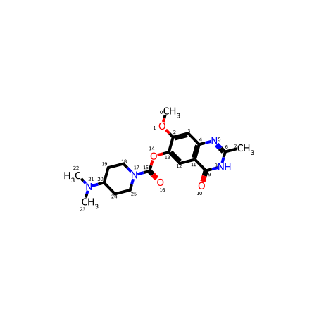 COc1cc2nc(C)[nH]c(=O)c2cc1OC(=O)N1CCC(N(C)C)CC1